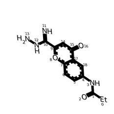 CCC(=O)Nc1ccc2oc(C(=N)NN)cc(=O)c2c1